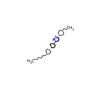 CCCCCCC[C@H]1CC[C@H](c2ccc(-c3ccc([C@H]4CC[C@H](CCC)CC4)nn3)cc2)CC1